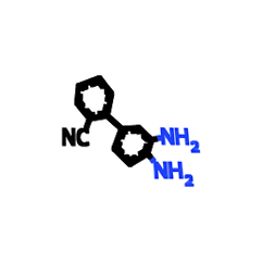 N#Cc1ccccc1-c1ccc(N)c(N)c1